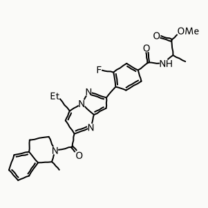 CCc1cc(C(=O)N2CCc3ccccc3C2C)nc2cc(-c3ccc(C(=O)NC(C)C(=O)OC)cc3F)nn12